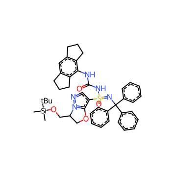 CC(C)(C)[Si](C)(C)OCC1COc2c(S(=O)(=NC(c3ccccc3)(c3ccccc3)c3ccccc3)NC(=O)Nc3c4c(cc5c3CCC5)CCC4)cnn21